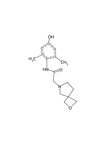 Cc1cc(O)cc(C)c1NC(=O)CN1CCC2(COC2)C1